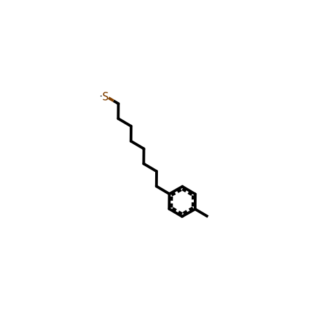 Cc1ccc(CCCCCCCC[S])cc1